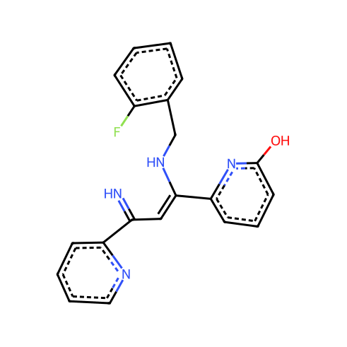 N=C(/C=C(\NCc1ccccc1F)c1cccc(O)n1)c1ccccn1